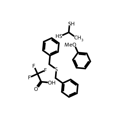 CC(S)S.COc1ccccc1.O=C(O)C(F)(F)F.c1ccc(CSCc2ccccc2)cc1